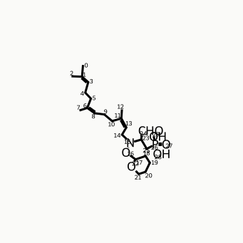 CC(C)=CCCC(C)=CCCC(C)=CCN(OC1CCCCO1)C(C=O)CP(=O)(O)O